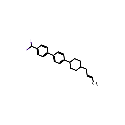 CC=CCC1CCC(c2ccc(-c3ccc(C(I)I)cc3)cc2)CC1